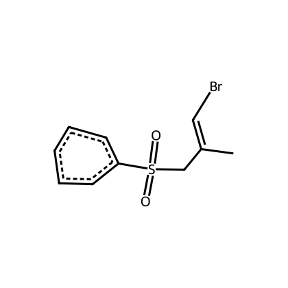 CC(=CBr)CS(=O)(=O)c1ccccc1